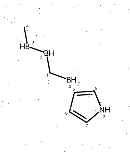 BCBBC.c1cc[nH]c1